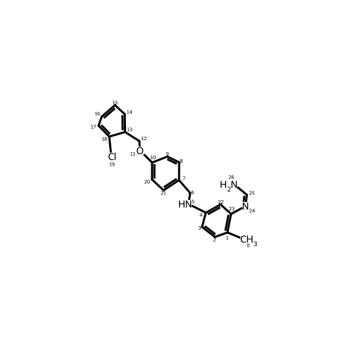 Cc1ccc(NCc2ccc(OCc3ccccc3Cl)cc2)cc1/N=C\N